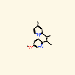 COc1ccc(C(C)C(C)c2cc(C)ccn2)nc1